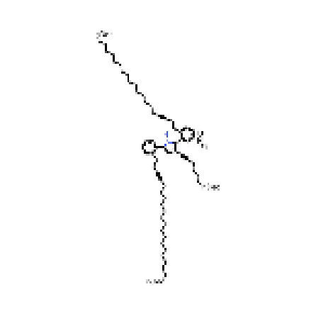 CCCCCCCCCCCCCCC#CC1=C(c2ccccc2CCC#CCCCCCCCCCCCCCCCCCCCCCCCCC)[N+](=[N-])C(c2ccccc2CCC#CCCCCCCCCCCCCCCCCCCCCCCCCC)=C1.C[CH2][Ni][CH2]C